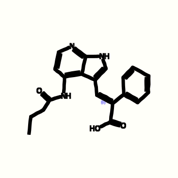 CCCC(=O)Nc1ccnc2[nH]cc(/C=C(/C(=O)O)c3ccccc3)c12